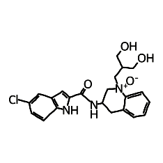 O=C(NC1Cc2ccccc2[N+]([O-])(CC(CO)CO)C1)c1cc2cc(Cl)ccc2[nH]1